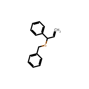 C=C[C](SCc1ccccc1)c1ccccc1